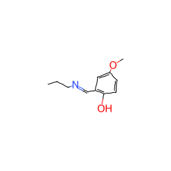 CCC/N=C/c1cc(OC)ccc1O